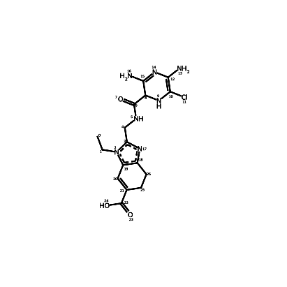 CCn1c(CNC(=O)C2NC(Cl)=C(N)N=C2N)nc2c1C=C(C(=O)O)CC2